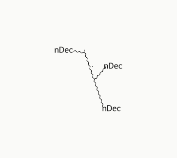 CCCCCCCCCCCCCCCCCCCCCCCC(CCCCC[CH]CCCCCCC(C)CCCCCCCCCCCCCCC)CCCCCCCCCCCCCCCCC